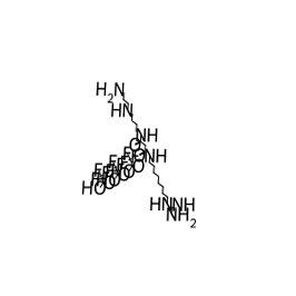 N=C(N)NCCCCCCCCNC(=O)CC(=O)NCCCCNCCCN.O=C(O)C(F)(F)F.O=C(O)C(F)(F)F.O=C(O)C(F)(F)F